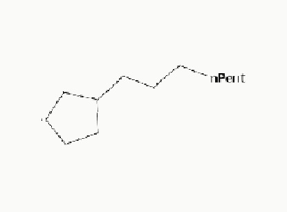 CCCCCCCCC1C[CH]CC1